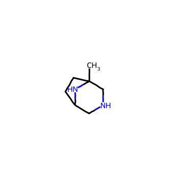 CC12CCC(CNC1)N2